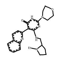 CCN1CCCC1CNc1nc(N2CCOCC2)[nH]c(=O)c1-c1ccc2ccccc2n1